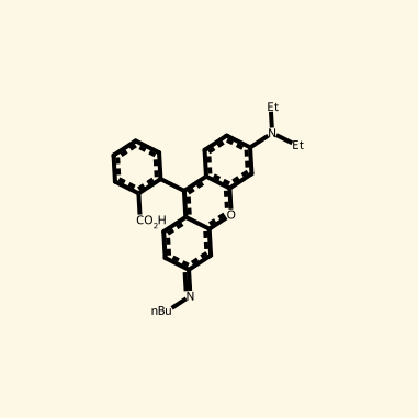 CCCCN=c1ccc2c(-c3ccccc3C(=O)O)c3ccc(N(CC)CC)cc3oc-2c1